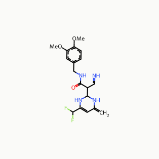 C=C1C=C(C(F)F)NC(C(C=N)C(=O)NCc2ccc(OC)c(OC)c2)N1